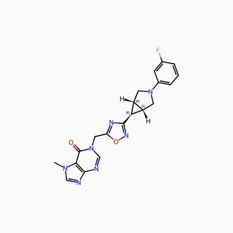 Cn1cnc2ncn(Cc3nc([C@H]4[C@@H]5CN(c6cccc(F)c6)C[C@@H]54)no3)c(=O)c21